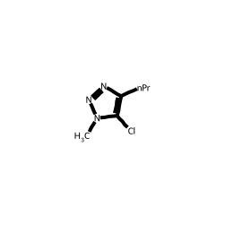 CCCc1nnn(C)c1Cl